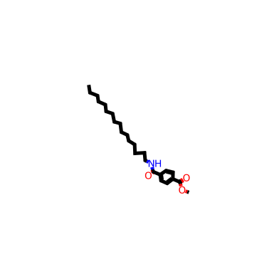 CCCCCCCCCCCCCCCCNC(=O)c1ccc(C(=O)OC)cc1